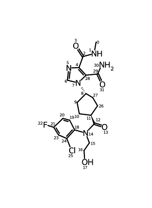 CNC(=O)c1ncn([C@H]2CC[C@H](C(=O)N(CCO)c3ccc(F)cc3Cl)CC2)c1C(N)=O